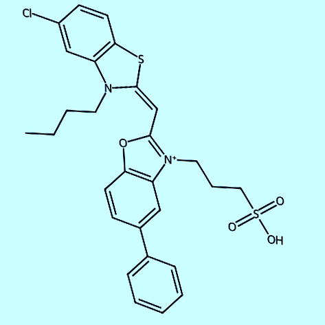 CCCCN1C(=Cc2oc3ccc(-c4ccccc4)cc3[n+]2CCCS(=O)(=O)O)Sc2ccc(Cl)cc21